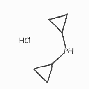 C1CC1PC1CC1.Cl